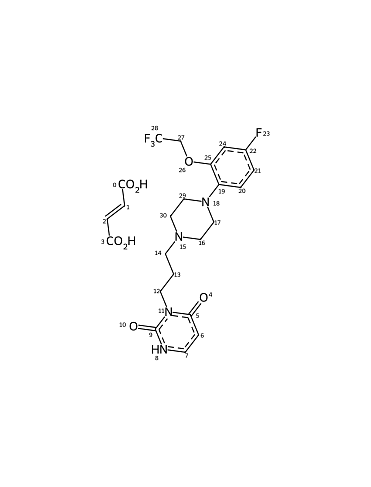 O=C(O)C=CC(=O)O.O=c1cc[nH]c(=O)n1CCCN1CCN(c2ccc(F)cc2OCC(F)(F)F)CC1